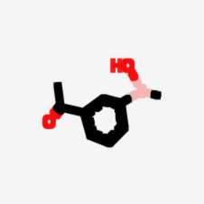 CB(O)c1cccc(C(C)=O)c1